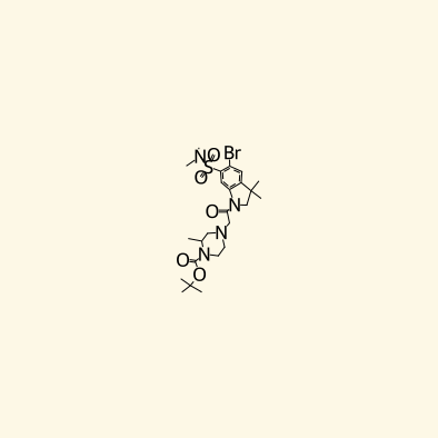 CC1CN(CC(=O)N2CC(C)(C)c3cc(Br)c(S(=O)(=O)N(C)C)cc32)CCN1C(=O)OC(C)(C)C